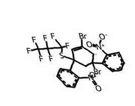 O=[N+]([O-])c1ccccc1C1(Br)[CH]C(Br)=CC(SC(F)(F)C(F)(F)C(F)(F)F)(c2ccccc2[N+](=O)[O-])C1